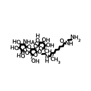 CC(=O)N[C@H]1[C@@H](O[C@H]2[C@@H](O)[C@@H](CO)O[C@@H](OCCNC(C)CCCCCCC(=O)NCCN)[C@@H]2O[C@H]2O[C@H](C)[C@H](O)[C@H](O)[C@H]2O)O[C@H](CO)[C@H](O)[C@@H]1O